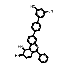 N#Cc1cc(C#N)cc(-c2ccc(-c3ccc4c5c(c(-c6ccccc6)nc4c3)C=CC(=N)C5=N)cc2)c1